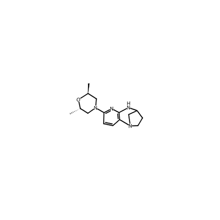 C[C@H]1CN(c2ccc3c(n2)NC2CCN3C2)C[C@H](C)O1